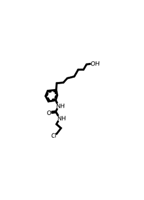 O=C(NCCCl)Nc1cccc(CCCCCCCO)c1